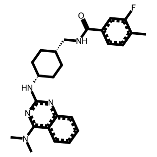 Cc1ccc(C(=O)NC[C@H]2CC[C@@H](Nc3nc(N(C)C)c4ccccc4n3)CC2)cc1F